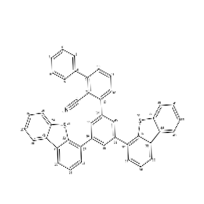 N#Cc1c(-c2ccccc2)cccc1-c1cc(-c2cccc3c2sc2ccccc23)cc(-c2cccc3c2sc2ccccc23)c1